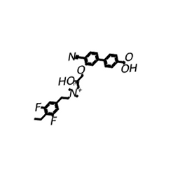 CCc1c(F)cc(CC[N+](C)(C)C[C@@H](O)COc2cc(-c3ccc(C(=O)O)cc3)ccc2C#N)cc1F